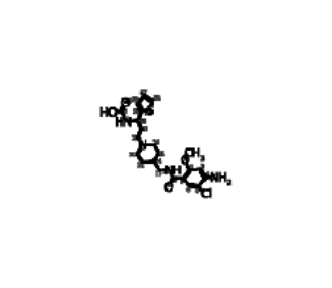 COc1cc(N)c(Cl)cc1C(=O)NCC1CCN(CCC(NC(=O)O)c2cccs2)CC1